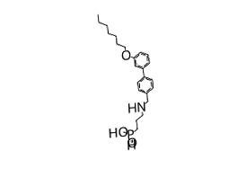 CCCCCCCOc1cccc(-c2ccc(CNCCC[PH](=O)O)cc2)c1